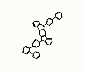 c1ccc2c(c#1)c1cc3c(cc1n2-c1ccc(-c2ccccc2)cc1)c1ccccc1n3-c1ccc(-c2ccccc2-c2ccccc2)cc1